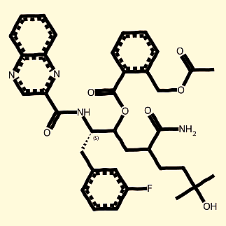 CC(=O)OCc1ccccc1C(=O)OC(CC(CCC(C)(C)O)C(N)=O)[C@H](Cc1cccc(F)c1)NC(=O)c1cnc2ccccc2n1